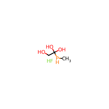 CPC(O)(O)CO.F